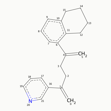 C=C(CCC(=C)c1cccc2c1CCCC2)c1cccnc1